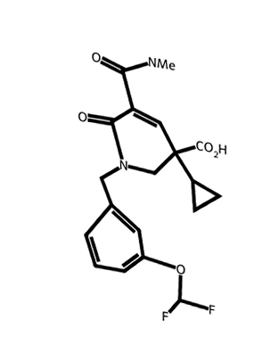 CNC(=O)C1=CC(C(=O)O)(C2CC2)CN(Cc2cccc(OC(F)F)c2)C1=O